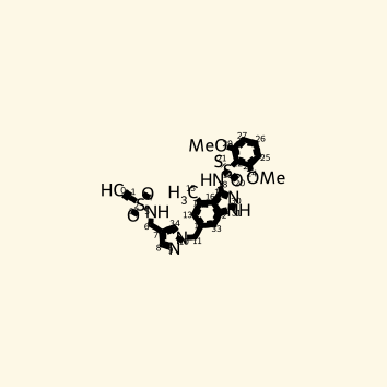 C#CS(=O)(=O)NCc1cnn(Cc2cc(C)c3c(NS(=O)(=S)c4c(OC)cccc4OC)n[nH]c3c2)c1